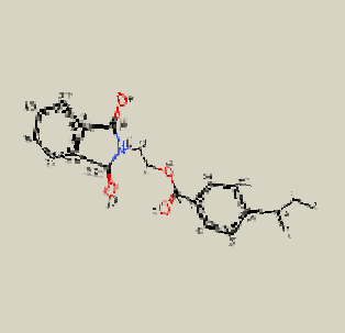 CCC(C)c1ccc(C(=O)OCCN2C(=O)c3ccccc3C2=O)cc1